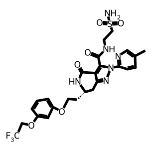 Cc1ccc(-n2nc3c(c2C(=O)NCCS(N)(=O)=O)C(=O)N[C@@H](CCOc2cccc(OCC(F)(F)F)c2)C3)nc1